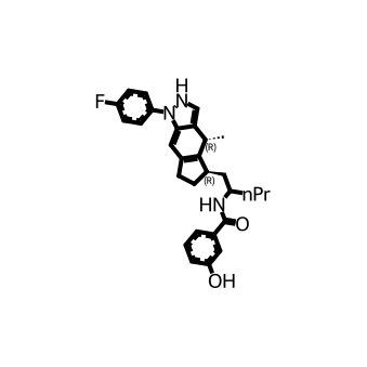 CCCC(C[C@H]1CCC2=C1[C@@H](C)C1=CNN(c3ccc(F)cc3)C1=C2)NC(=O)c1cccc(O)c1